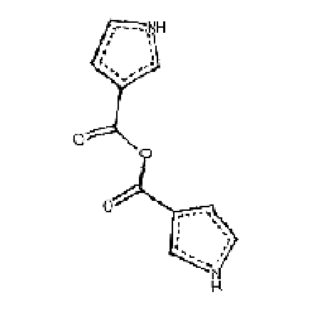 O=C(OC(=O)c1cc[nH]c1)c1cc[nH]c1